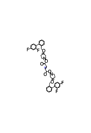 O=C(/C=C/C(=O)ON1CC[C@H](OCc2ccccc2-c2ccc(F)cc2F)C1)ON1CC[C@H](OCc2ccccc2-c2ccc(F)cc2F)C1